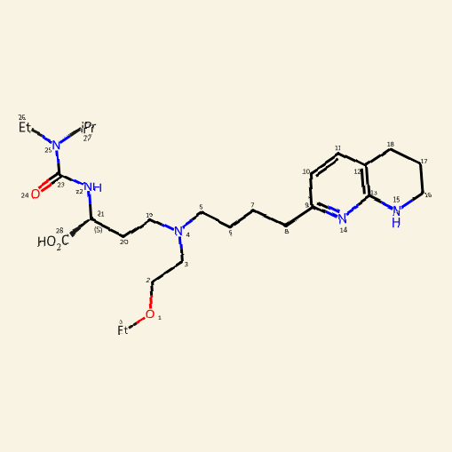 CCOCCN(CCCCc1ccc2c(n1)NCCC2)CC[C@H](NC(=O)N(CC)C(C)C)C(=O)O